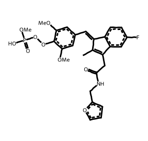 COc1cc(C=C2C(C)=C(CC(=O)NCc3ccco3)c3cc(F)ccc32)cc(OC)c1OOP(=O)(O)OC